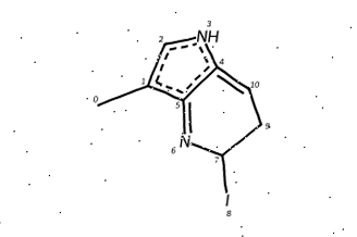 Cc1c[nH]c2c1=NC(I)CC=2